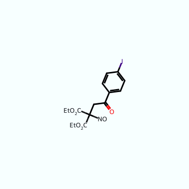 CCOC(=O)C(CC(=O)c1ccc(I)cc1)(N=O)C(=O)OCC